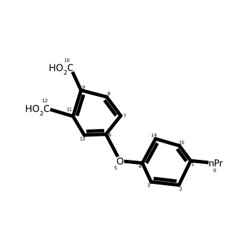 [CH2]CCc1ccc(Oc2ccc(C(=O)O)c(C(=O)O)c2)cc1